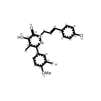 COc1ccc(-c2nn(CC=Cc3ccc(Cl)cc3)c(=O)c(O)c2C)cc1F